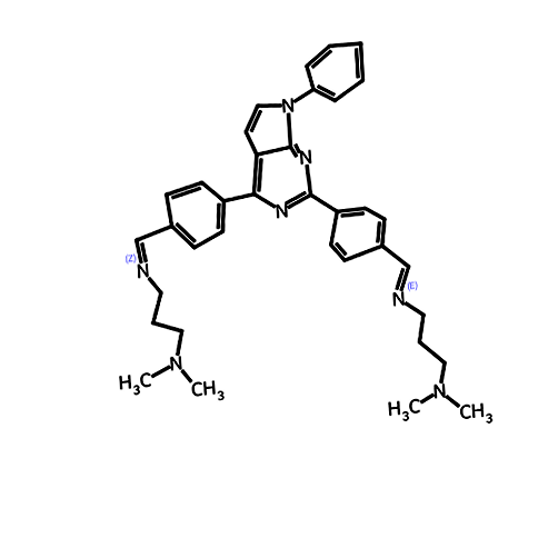 CN(C)CCC/N=C\c1ccc(-c2nc(-c3ccc(/C=N/CCCN(C)C)cc3)nc3c2ccn3-c2ccccc2)cc1